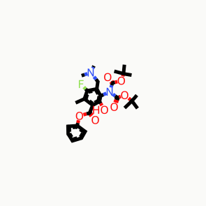 Cc1c(F)c(CN(C)C)c(N(C(=O)OC(C)(C)C)C(=O)OC(C)(C)C)c(O)c1C(=O)Oc1ccccc1